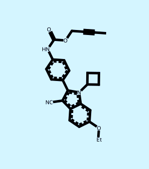 CC#CCOC(=O)Nc1ccc(-c2c(C#N)c3ccc(OCC)cc3n2C2CCC2)cc1